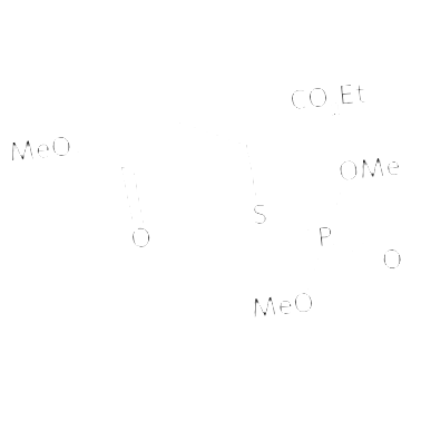 CCOC(=O)C(CC(=O)OC)SP(=O)(OC)OC